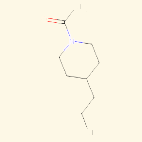 [CH2]C(=O)N1CCC(CCC)CC1